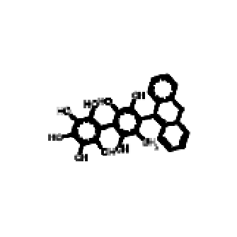 Bc1c(O)c(-c2c(O)c(O)c(O)c(O)c2O)c(O)c(O)c1C1=C2C=CC=CC2Cc2ccccc21